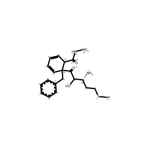 CC(C)SCC[C@@H](N)C(O)C(=O)C1(Cc2ccccc2)C=CC=CC1C(=O)NN